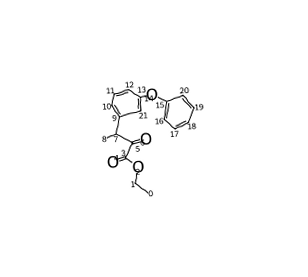 CCOC(=O)C(=O)C(C)c1cccc(Oc2ccccc2)c1